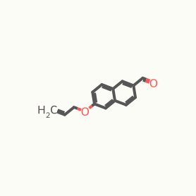 C=CCOc1ccc2cc(C=O)ccc2c1